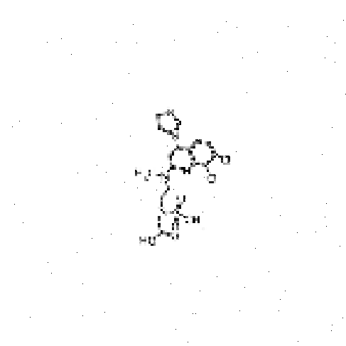 CN(CCN(CC(=O)O)S(C)(=O)=O)c1cc(-n2ccnc2)c2ccc(Cl)c(Cl)c2n1